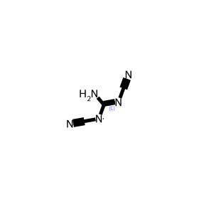 N#C[N]/C(N)=N/C#N